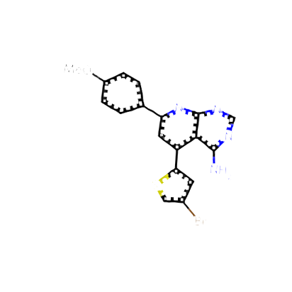 COc1ccc(-c2cc(-c3cc(Br)cs3)c3c(N)ncnc3n2)cc1